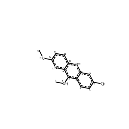 CNc1c2ccc(Cl)cc2nc2ccc(OC)nc12